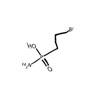 NP(=O)(O)CCBr